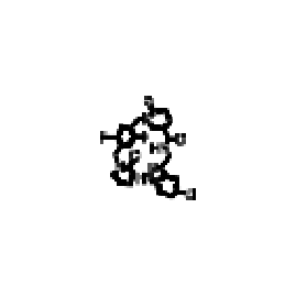 O=C(NCc1n[nH]c2ccc(Cl)cc12)c1ccc(=O)n(Cc2cc(F)c(Cn3ccccc3=O)cc2F)c1